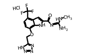 CNC(N)=NC(=O)c1cc2c(C(F)(F)F)ccc(OCc3nnn[nH]3)c2[nH]1.Cl